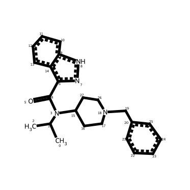 CC(C)N(C(=O)c1n[nH]c2ccccc12)C1CCN(Cc2ccccc2)CC1